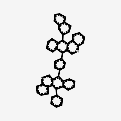 c1ccc(-c2c3ccccc3c(-c3ccc(-c4c5ccccc5c(-c5ccc6ccccc6c5)c5c4cnc4ccccc45)cc3)c3cnc4ccccc4c23)cc1